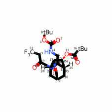 CC(C)(C)OC(=O)NCC1[C@@H]2CC3C[C@H]1[C@H](OC(=O)C(C)(C)C)C2N(C(=O)CC(F)(F)F)C3